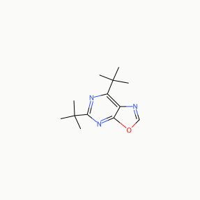 CC(C)(C)c1nc(C(C)(C)C)c2ncoc2n1